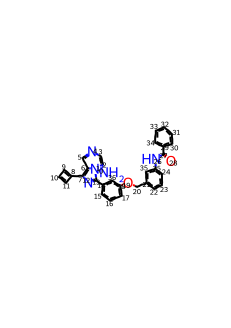 N[N+]12C=CN=CC1=C(C1=CC=C1)N=C2c1cccc(OCc2cccc(NC(=O)c3ccccc3)c2)c1